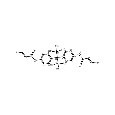 CC=CC(=O)Oc1ccc(C(c2ccc(OC(=O)C=CC)cc2)(C(F)(F)F)C(F)(F)F)cc1